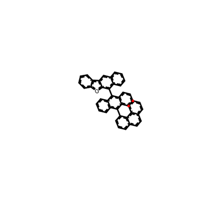 c1ccc2c(-c3c4ccccc4c(-c4cccc5ccc6ccccc6c45)c4ccccc34)c3oc4ccccc4c3cc2c1